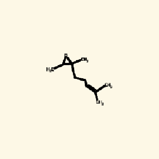 CC(C)=CCCC1(C)OC1C